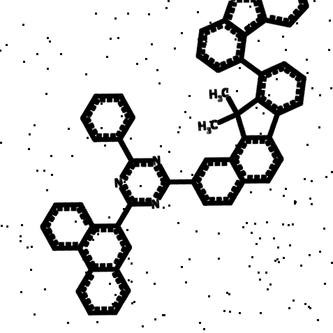 CC1(C)c2c(cccc2-c2cccc3oc4ccccc4c23)-c2ccc3ccc(-c4nc(-c5ccccc5)nc(-c5cc6ccccc6c6ccccc56)n4)cc3c21